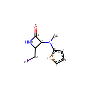 CC(=O)N(c1cccs1)C1C(=O)NC1CI